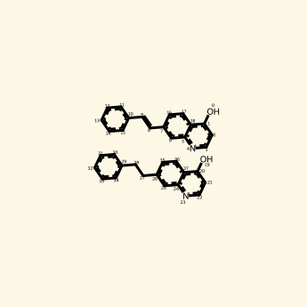 Oc1ccnc2cc(C=Cc3ccccc3)ccc12.Oc1ccnc2cc(CCc3ccccc3)ccc12